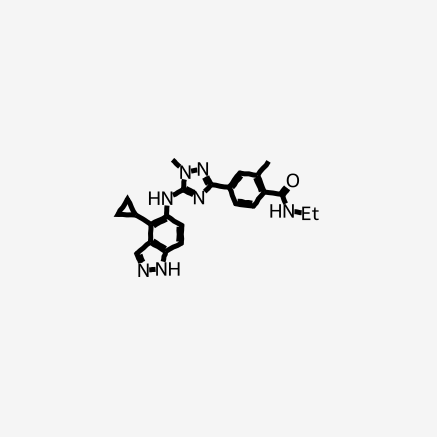 CCNC(=O)c1ccc(-c2nc(Nc3ccc4[nH]ncc4c3C3CC3)n(C)n2)cc1C